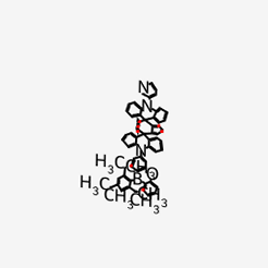 CC(C)c1cc(C(C)C)c(B2c3ccccc3Oc3cc(N4c5ccccc5C5(c6ccccc64)c4ccccc4C4(c6ccccc6N(c6cccnc6)c6ccccc64)c4ccccc45)ccc32)c(C(C)C)c1